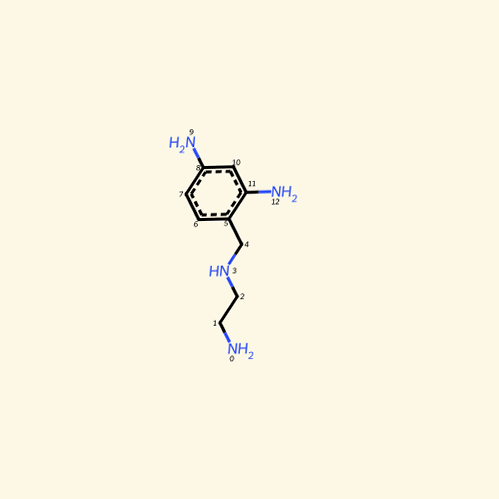 NCCNCc1ccc(N)cc1N